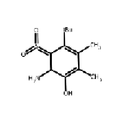 CC1=C(O)C(N)C(=S(=O)=O)C(C(C)(C)C)=C1C